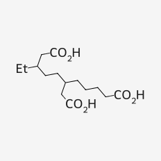 CCC(CCC(CCCCC(=O)O)CC(=O)O)CC(=O)O